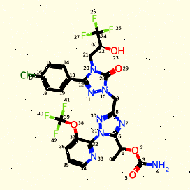 CC(OC(N)=O)c1nc(Cn2nc(-c3ccc(Cl)cc3)n(C[C@H](O)C(F)(F)F)c2=O)nn1-c1ncccc1OC(F)(F)F